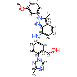 COc1cccc(-n2nc3c(Nc4ccc(-n5cnc(C)n5)c(CO)c4)cccc3c2C)c1